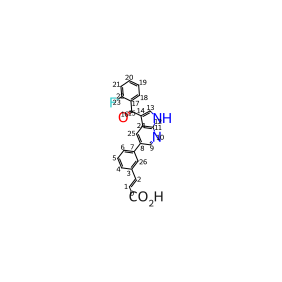 O=C(O)C=Cc1cccc(-c2cnc3[nH]cc(C(=O)c4ccccc4F)c3c2)c1